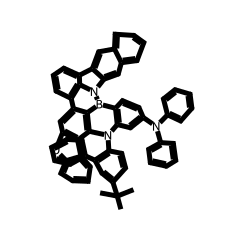 CC(C)(C)c1ccc(N2c3cc(N(c4ccccc4)c4ccccc4)ccc3B3c4c(cc5oc6ccccc6c5c42)-c2cccc4c5cc6ccccc6cc5n3c24)c(-c2ccccc2)c1